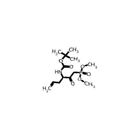 C=CCC(NC(=O)OC(C)(C)C)C(=O)CP(=O)(OC)OC